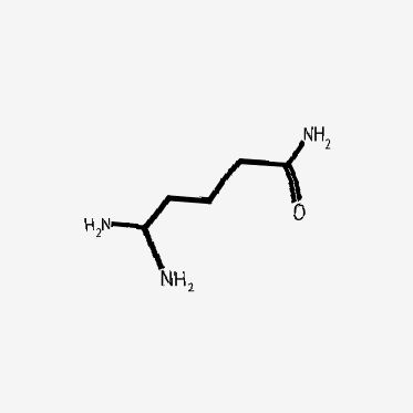 NC(=O)CCCC(N)N